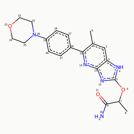 Cc1cc2[nH]c(OC(C)C(N)=O)nc2nc1-c1ccc(N2CCOCC2)cc1